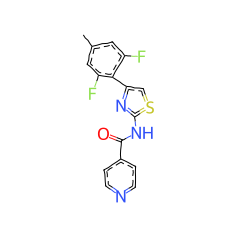 Cc1cc(F)c(-c2csc(NC(=O)c3ccncc3)n2)c(F)c1